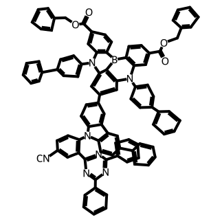 [C-]#[N+]c1ccc(-n2c3ccc(-c4ccccc4)cc3c3cc(-c4cc5c6c(c4)N(c4ccc(-c7ccccc7)cc4)c4cc(C(=O)OCc7ccccc7)ccc4B6c4ccc(C(=O)OCc6ccccc6)cc4N5c4ccc(-c5ccccc5)cc4)ccc32)c(-c2nc(-c3ccccc3)nc(-c3ccccc3)n2)c1